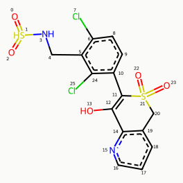 O=[SH](=O)NCc1c(Cl)ccc(C2=C(O)c3ncccc3CS2(=O)=O)c1Cl